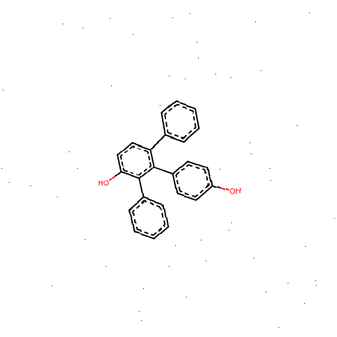 Oc1ccc(-c2c(-c3ccccc3)ccc(O)c2-c2ccccc2)cc1